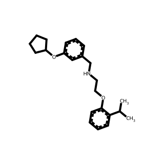 CC(C)c1ccccc1OCCNCc1cccc(OC2CCCC2)c1